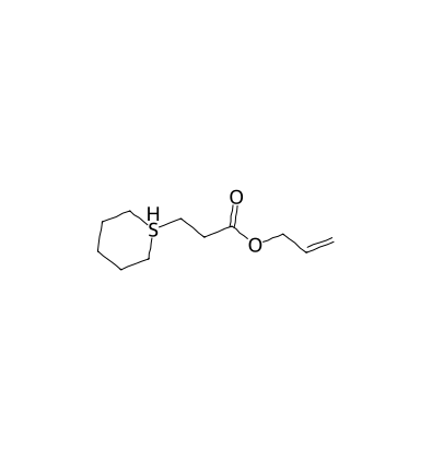 C=CCOC(=O)CC[SH]1CCCCC1